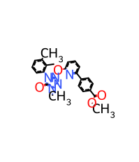 COC(=O)c1ccc(-c2cccc(OCc3c(C)cccc3-n3nnn(C)c3=O)n2)cc1